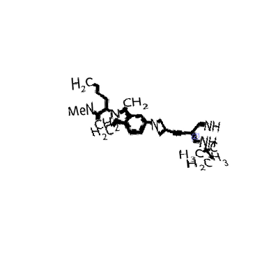 C=CCCC(C(=C)NC)n1c(=C)c2ccc(N3CC(C#C/C(C=N)=C/NC(C)(C)C=C)C3)cc2c1=C